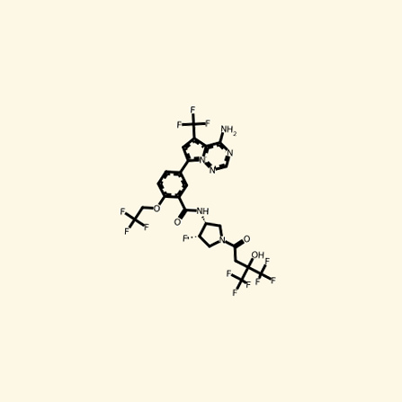 Nc1ncnn2c(-c3ccc(OCC(F)(F)F)c(C(=O)N[C@@H]4CN(C(=O)CC(O)(C(F)(F)F)C(F)(F)F)C[C@@H]4F)c3)cc(C(F)(F)F)c12